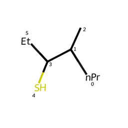 CCCC(C)C(S)CC